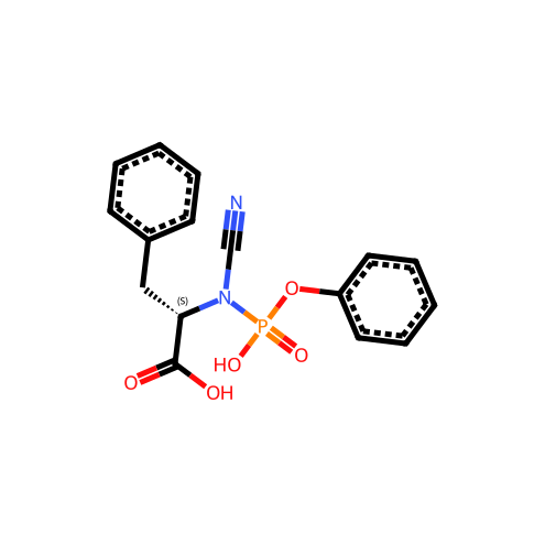 N#CN([C@@H](Cc1ccccc1)C(=O)O)P(=O)(O)Oc1ccccc1